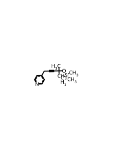 CC(C)(C#CCc1ccncc1)O[Si](C)(C)C